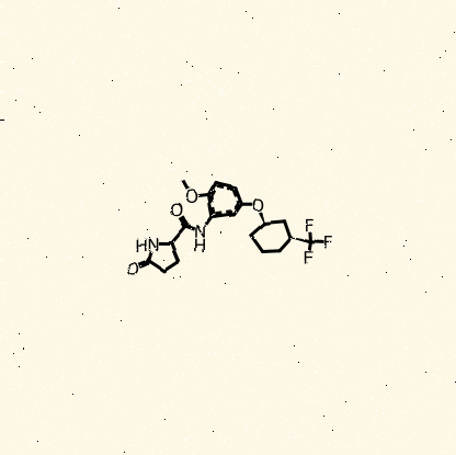 COc1ccc(O[C@@H]2CCC[C@H](C(F)(F)F)C2)cc1NC(=O)C1CCC(=O)N1